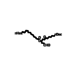 CCCCCC/C=C/C=C\CCCCCCCC(=O)OC(CCC=O)CCC(=O)CCCCCCCCCCCCCCC